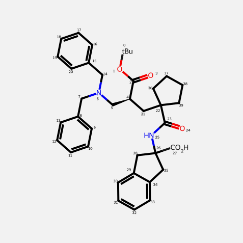 CC(C)(C)OC(=O)[C@H](CN(Cc1ccccc1)Cc1ccccc1)CC1(C(=O)NC2(C(=O)O)Cc3ccccc3C2)CCCC1